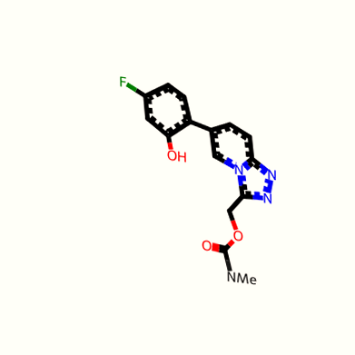 CNC(=O)OCc1nnc2ccc(-c3ccc(F)cc3O)cn12